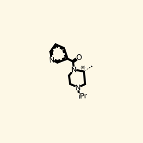 CC(C)N1CCN(C(=O)c2cccnc2)[C@H](C)C1